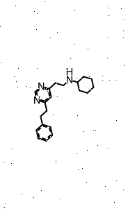 c1ccc(CCc2cc(CCNC3CCCCC3)ncn2)cc1